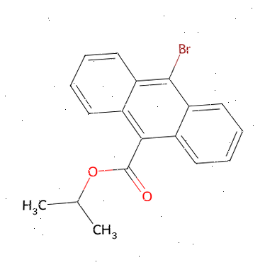 CC(C)OC(=O)c1c2ccccc2c(Br)c2ccccc12